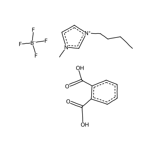 CCCC[n+]1ccn(C)c1.F[B-](F)(F)F.O=C(O)c1ccccc1C(=O)O